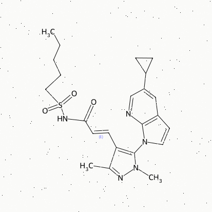 CCCCCS(=O)(=O)NC(=O)/C=C/c1c(C)nn(C)c1-n1ccc2cc(C3CC3)cnc21